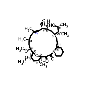 CC[C@@H]1/C=C(\C)C[C@H](C)C[C@H](OC)[C@H]2O[C@@](O)(C(=O)C(=O)N3CCCC[C@H]3CC[C@H]([C@@H](C)[C@@H](C)O)C[C@H]1O)[C@H](C)C[C@@H]2OC